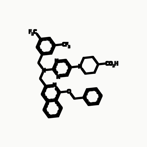 O=C(O)C1CCN(c2cnc(N(Cc3cc(C(F)(F)F)cc(C(F)(F)F)c3)Cc3cc4ccccc4c(OCc4ccccc4)n3)nc2)CC1